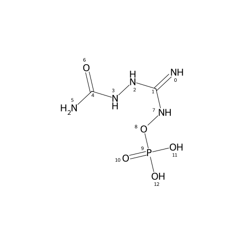 N=C(NNC(N)=O)NOP(=O)(O)O